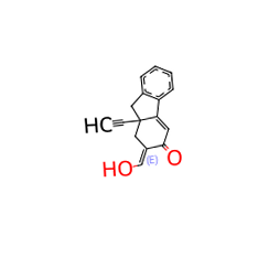 C#CC12C/C(=C\O)C(=O)C=C1c1ccccc1C2